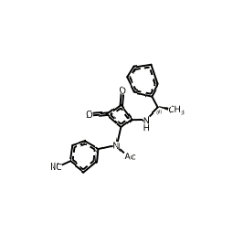 CC(=O)N(c1ccc(C#N)cc1)c1c(N[C@H](C)c2ccccc2)c(=O)c1=O